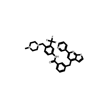 CN1CCN(Cc2ccc(NC(=O)c3cccc(Cc4cc(-c5cccnc5)nc5sccc45)c3)cc2C(F)(F)F)CC1